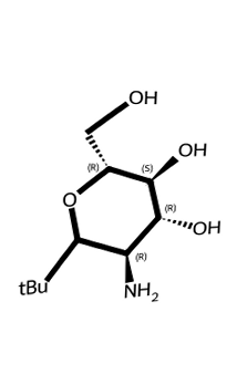 CC(C)(C)C1O[C@H](CO)[C@@H](O)[C@H](O)[C@H]1N